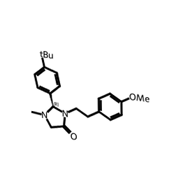 COc1ccc(CCN2C(=O)CN(C)[C@H]2c2ccc(C(C)(C)C)cc2)cc1